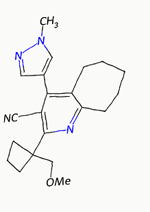 COCC1(c2nc3c(c(-c4cnn(C)c4)c2C#N)CCCCC3)CCC1